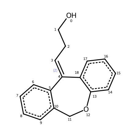 OCC/C=C1/c2ccccc2COc2ccccc21